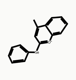 Cc1cc([Se]c2ccccc2)[o+]c2ccccc12